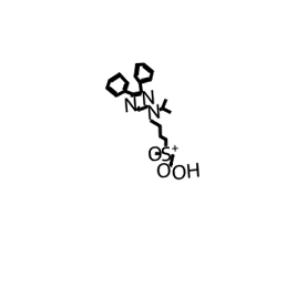 CC(C)N(CCCC[S+]([O-])CC(=O)O)c1cnc(-c2ccccc2)c(-c2ccccc2)n1